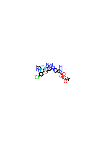 Cc1ccn(-c2cc(Cl)ccc2[C@@H](Oc2cc(N3CCC4(CC3)CNC(C(=O)O[C@@H](C)OC(=O)C(C)(C)C)C4)nc(N)n2)C(F)(F)F)n1